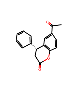 CC(=O)c1ccc2c(c1)[C@@H](c1ccccc1)CC(=O)O2